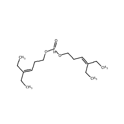 CCC(=CCCO[PH](=O)OCCC=C(CC)CC)CC